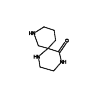 O=C1NCCNC12CCCNC2